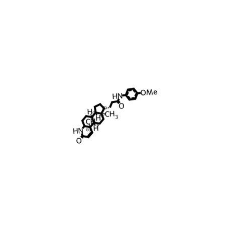 COc1ccc(NC(=O)CC[C@H]2CC[C@H]3[C@@H]4CCC5NC(=O)C=C[C@]5(C)[C@H]4CC[C@]23C)cc1